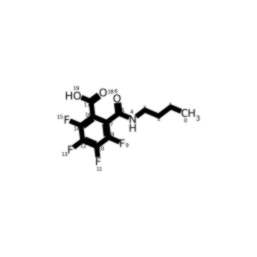 CCCCNC(=O)c1c(F)c(F)c(F)c(F)c1C(=O)O